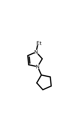 CCN1C=CN(C2CCCC2)C1